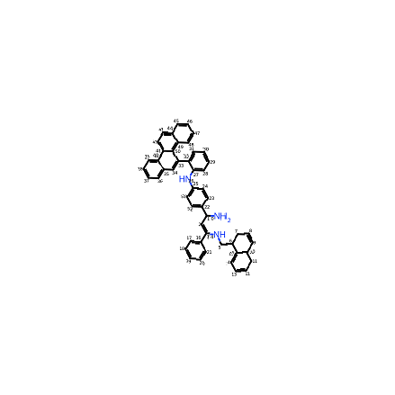 NC(/C=C(\NCC1CC=CC2CC=CC=C21)c1ccccc1)c1ccc(Nc2ccccc2-c2cc3ccccc3c3ccc4ccccc4c23)cc1